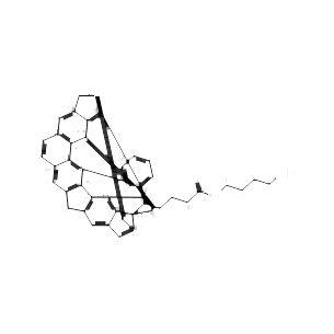 CCCCCOC(=O)CCCC(c1ccccc1)C12C3=Cc4cc5c6c(c41)c1c2c2c4c(cc7ccc8cc(c6c6c8c7c4c16)C5)CC2=C3